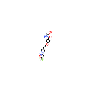 Cc1cc(OCCCC2CCN(C3=NOC(C(C)(F)F)CC3)CC2)ccc1C(=O)N[C@H](C)CO